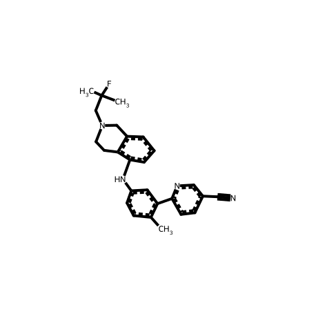 Cc1ccc(Nc2cccc3c2CCN(CC(C)(C)F)C3)cc1-c1ccc(C#N)cn1